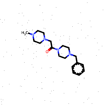 CN1CCN(CC(=O)N2CCN(Cc3ccccc3)CC2)CC1